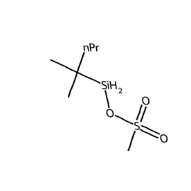 CCCC(C)(C)[SiH2]OS(C)(=O)=O